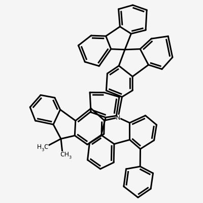 CC1(C)c2ccccc2-c2cc(N(c3ccc4c(c3)-c3ccccc3C43c4ccccc4-c4ccccc43)c3cccc(-c4ccccc4)c3-c3ccccc3-c3ccccc3)ccc21